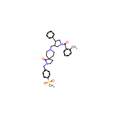 Cc1ccccc1C(=O)N1CC(CN2CCC3(CC2)CCN(Cc2ccc(S(C)(=O)=O)cc2)C3=O)C(c2ccccc2)C1